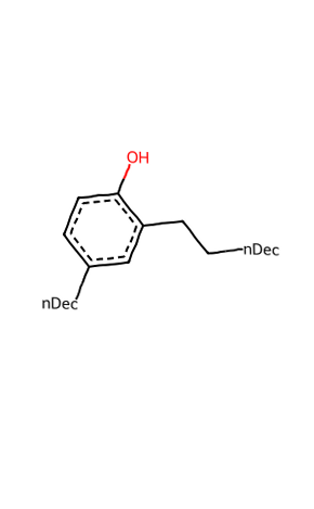 CCCCCCCCCCCCc1cc(CCCCCCCCCC)ccc1O